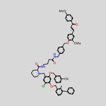 COc1ccc(C(=O)/C=C/c2ccc(OCc3ccc(CNC(=O)CCCNC(=O)C4CCCCN4Cc4cc(Cl)c(OCc5cccc(-c6ccccc6)c5C)cc4OCc4cccc(C#N)c4)cc3)c(OC)c2)cc1